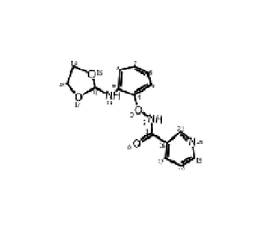 O=C(NOc1ccccc1NC1OCCO1)c1cccnc1